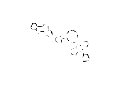 c1cccc(-c2c3ccccc3c(-c3ccccc3)c3ccccc23)ccc(-c2ccc3oc4cc5c(ccc6c7ccccc7sc56)cc4c3c2)cc1